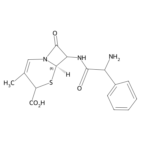 CC1=CN2C(=O)C(NC(=O)C(N)c3ccccc3)[C@H]2SC1C(=O)O